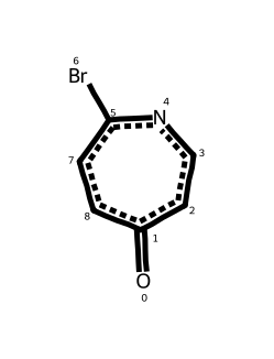 O=c1ccnc(Br)cc1